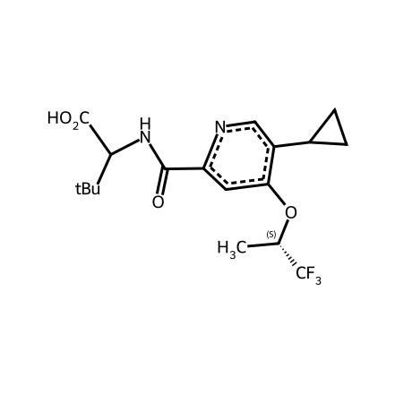 C[C@H](Oc1cc(C(=O)NC(C(=O)O)C(C)(C)C)ncc1C1CC1)C(F)(F)F